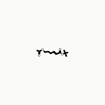 CC(=O)OCCC/C=C/C(=O)OC(C)(C)C